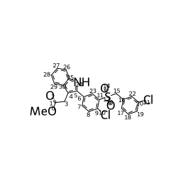 COC(=O)Cc1c(-c2ccc(Cl)c(S(=O)(=O)Cc3cccc(Cl)c3)c2)[nH]c2ccccc12